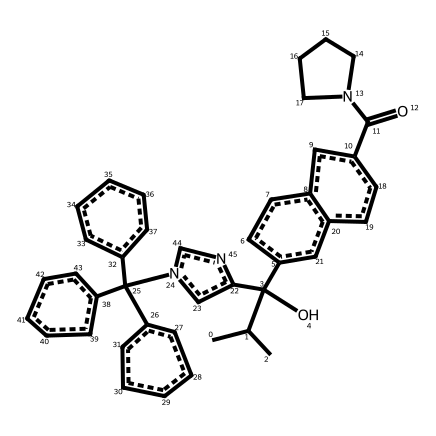 CC(C)C(O)(c1ccc2cc(C(=O)N3CCCC3)ccc2c1)c1cn(C(c2ccccc2)(c2ccccc2)c2ccccc2)cn1